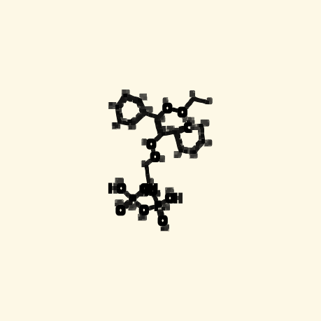 CCOOC(=C(OOCC)c1ccccc1)c1ccccc1.O=P(O)(O)OP(=O)(O)O